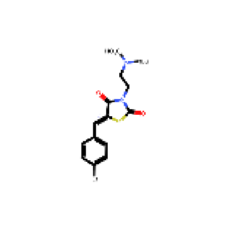 CCc1ccc(/C=C2\SC(=O)N(CCN(C(=O)O)C(C)(C)C)C2=O)cc1